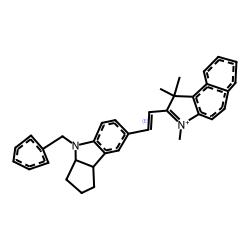 C[N+]1=C(/C=C/c2ccc3c(c2)C2CCCC2N3Cc2ccccc2)C(C)(C)c2c1ccc1ccccc21